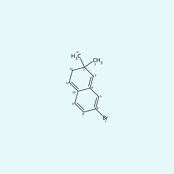 CC1(C)C=c2cc(Br)ccc2=CC1